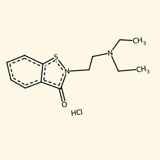 CCN(CC)CCn1sc2ccccc2c1=O.Cl